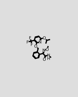 CNC(=O)C(=NOC)c1ccccc1COc1nc(OC(C)C)ccc1C(F)(F)F